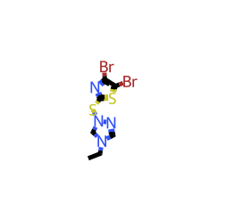 CCN1C=NN(Sc2nc(Br)c(Br)s2)C1